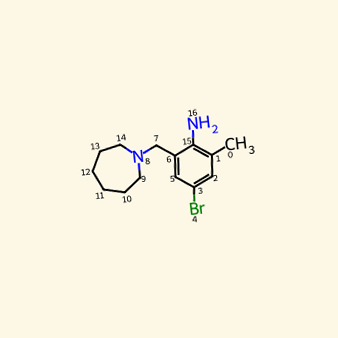 Cc1cc(Br)cc(CN2CCCCCC2)c1N